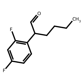 CCCCC(C=O)c1ccc(F)cc1F